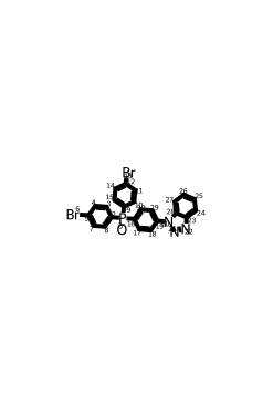 O=P(c1ccc(Br)cc1)(c1ccc(Br)cc1)c1ccc(-n2nnc3ccccc32)cc1